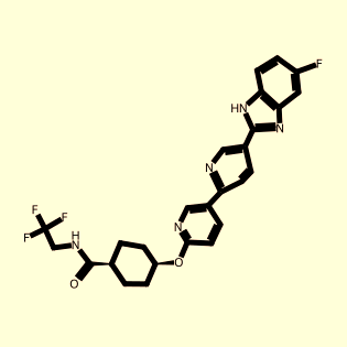 O=C(NCC(F)(F)F)[C@H]1CC[C@@H](Oc2ccc(-c3ccc(-c4nc5cc(F)ccc5[nH]4)cn3)cn2)CC1